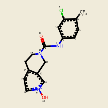 O=C(Nc1ccc(C(F)(F)F)c(Cl)c1)N1CCc2cc[n+](O)cc2C1